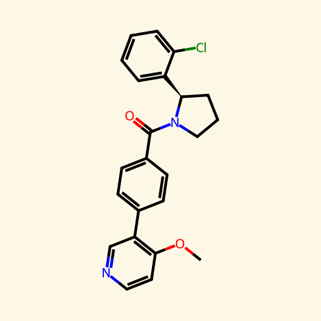 COc1ccncc1-c1ccc(C(=O)N2CCC[C@@H]2c2ccccc2Cl)cc1